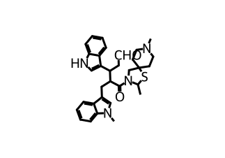 CC1SC2(CCN(C)CC2)CN1C(=O)C(Cc1cn(C)c2ccccc12)C(CC=O)c1c[nH]c2ccccc12